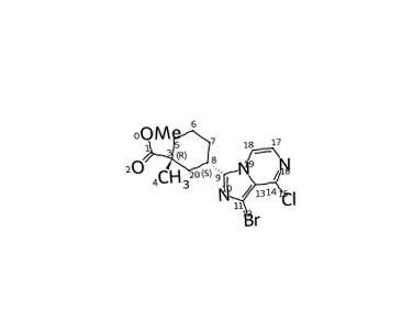 COC(=O)[C@]1(C)CCC[C@H](c2nc(Br)c3c(Cl)nccn23)C1